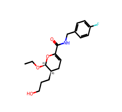 CCO[C@H]1OC(C(=O)NCc2ccc(F)cc2)=CC[C@H]1CCCO